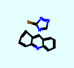 S=C1N=CN=N1.c1ccc2nc3ccccc3cc2c1